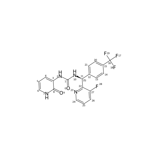 O=C(Nc1ccc[nH]c1=O)N[C@@H](c1ccc(C(F)(F)F)cc1)c1ncccc1F